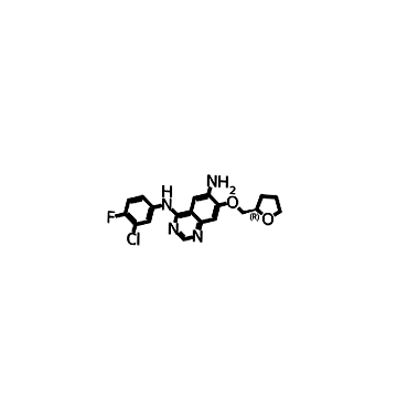 Nc1cc2c(Nc3ccc(F)c(Cl)c3)ncnc2cc1OC[C@H]1CCCO1